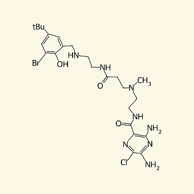 CN(CCNC(=O)c1nc(Cl)c(N)nc1N)CCC(=O)NCCNCc1cc(C(C)(C)C)cc(Br)c1O